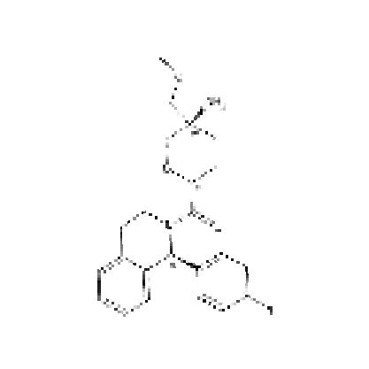 COC[C@]1(N)CC[C@H](C(=O)N2CCc3ccccc3[C@@H]2c2ccc(F)cc2)OC1